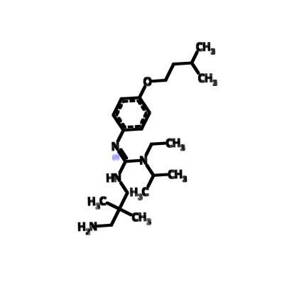 CCN(/C(=N\c1ccc(OCCC(C)C)cc1)NCC(C)(C)CN)C(C)C